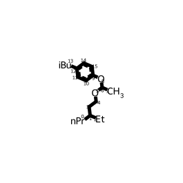 CCCC(CC)CCOC(C)Oc1ccc(C(C)CC)cc1